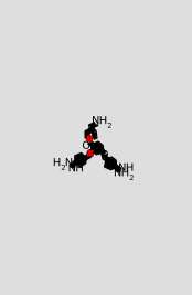 N=C(N)c1ccc(COc2ccc(C(=O)N3CCC(CCN)CC3)c(OCc3ccc(C(=N)N)cc3)c2)cc1